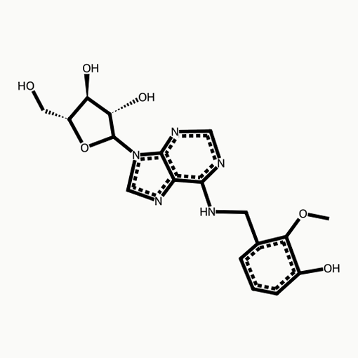 COc1c(O)cccc1CNc1ncnc2c1ncn2C1O[C@H](CO)[C@@H](O)[C@@H]1O